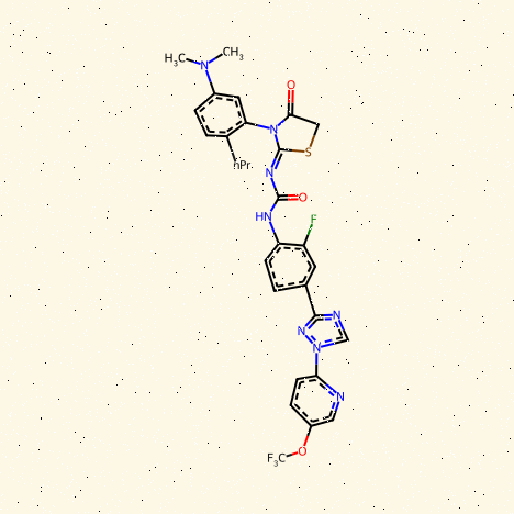 CCCc1ccc(N(C)C)cc1N1C(=O)CS/C1=N\C(=O)Nc1ccc(-c2ncn(-c3ccc(OC(F)(F)F)cn3)n2)cc1F